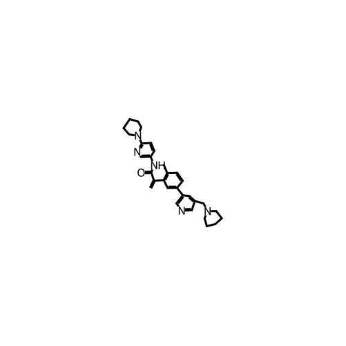 C=C(C(=O)Nc1ccc(N2CCCCC2)nc1)c1cc(-c2cncc(CN3CCCCC3)c2)ccc1C